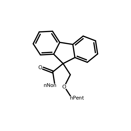 CCCCCCCCCC(=O)C1(COCCCCC)c2ccccc2-c2ccccc21